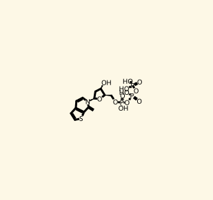 C=C1c2sccc2C=CN1[C@H]1C[C@@H](O)[C@@H](COP(=O)(O)OP(=O)(O)OP(=O)(O)O)O1